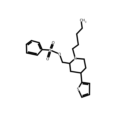 CCCCCN1CCC(c2cccs2)CC1COS(=O)(=O)c1ccccc1